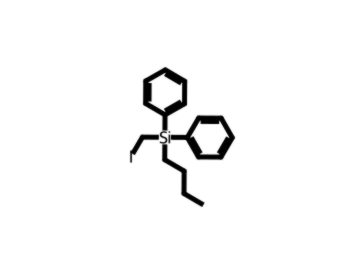 CCCC[Si](CI)(c1ccccc1)c1ccccc1